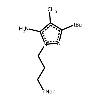 CCCCCCCCCCCCn1nc(C(C)(C)C)c(C)c1N